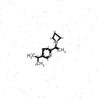 C=C(c1ccc(C(C)C)cn1)N1CCC1